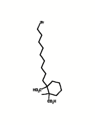 CC(C)CCCCCCCCCC1(C(=O)O)CCCCC1(C)C(=O)O